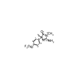 CN1C(=O)[C@@](I)(c2ccc(OC(F)(F)F)cc2)N=C1N